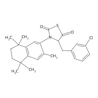 Cc1cc2c(cc1N1C(=O)SC(=O)C1Cc1cccc(Cl)c1)C(C)(C)CCC2(C)C